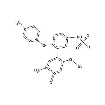 CCOc1cc(=O)n(C)cc1-c1cc(NS(=O)(=O)CC)ccc1Oc1ccc(C(F)(F)F)cc1